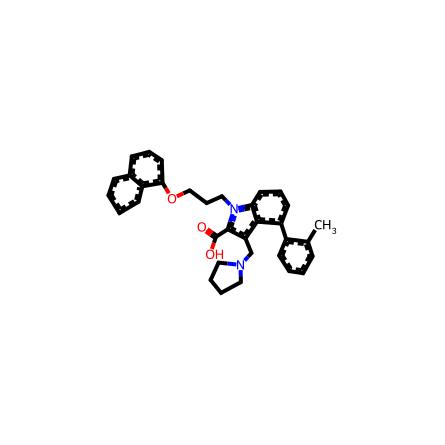 Cc1ccccc1-c1cccc2c1c(CN1CCCC1)c(C(=O)O)n2CCCOc1cccc2ccccc12